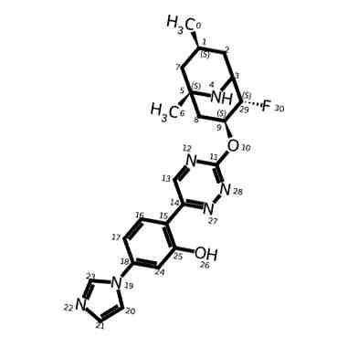 C[C@H]1CC2N[C@@](C)(C1)C[C@H](Oc1ncc(-c3ccc(-n4ccnc4)cc3O)nn1)[C@H]2F